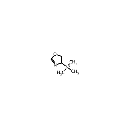 C[N+](C)(C)C1COC=N1